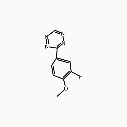 COc1ccc(-c2nncnn2)cc1F